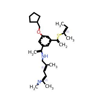 C=N/C(C)=C\C=C(/C)CNC(=C)c1cc(OCC2CCCC2)cc(C(=C)S/C(C)=C\C)c1